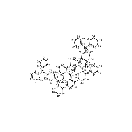 c1ccc(N(c2ccccc2)c2ccc(N(c3ccccc3)c3c4ccccc4c(-c4c5ccccc5c(N(c5ccccc5)c5ccc(N(c6ccccc6)c6ccccc6)cc5)c5ccccc45)c4ccccc34)cc2)cc1